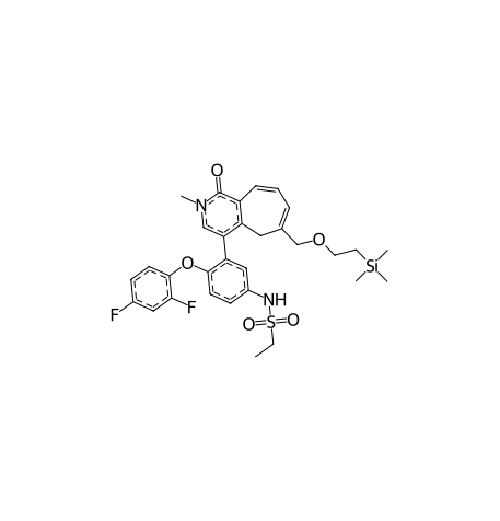 CCS(=O)(=O)Nc1ccc(Oc2ccc(F)cc2F)c(-c2cn(C)c(=O)c3c2CC(COCC[Si](C)(C)C)=CC=C3)c1